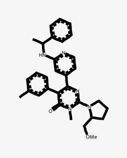 COCC1CCCN1c1nc(-c2ccnc(NC(C)c3ccccc3)c2)c(-c2cccc(C)c2)c(=O)n1C